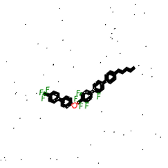 CCCCCc1ccc(-c2ccc(-c3cc(F)c(C(F)(F)Oc4ccc(-c5ccc(C(F)(F)F)cc5)cc4)c(F)c3)c(F)c2)cc1